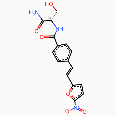 NC(=O)[C@H](CO)NC(=O)c1ccc(C=Cc2ccc([N+](=O)[O-])o2)cc1